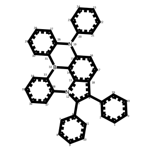 c1ccc(-c2c(-c3ccccc3)n3c4c5c(ccc24)N(c2ccccc2)c2ccccc2B5c2ccccc2-3)cc1